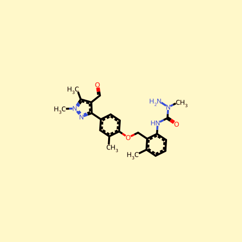 Cc1cc(-c2nn(C)c(C)c2C=O)ccc1OCc1c(C)cccc1NC(=O)N(C)N